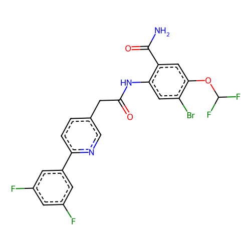 NC(=O)c1cc(OC(F)F)c(Br)cc1NC(=O)Cc1ccc(-c2cc(F)cc(F)c2)nc1